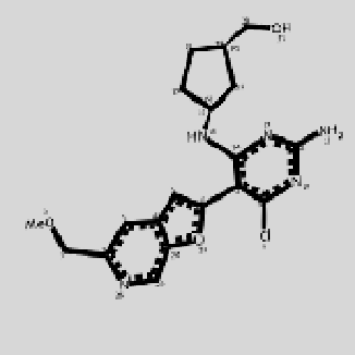 COCc1cc2cc(-c3c(Cl)nc(N)nc3N[C@H]3CC[C@@H](CO)C3)oc2cn1